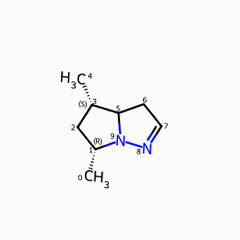 C[C@@H]1C[C@H](C)C2CC=NN21